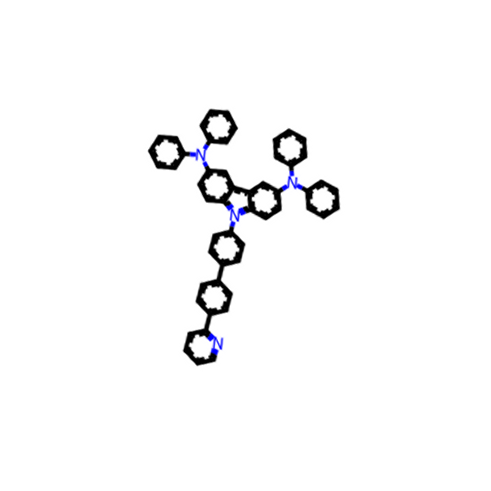 c1ccc(N(c2ccccc2)c2ccc3c(c2)c2cc(N(c4ccccc4)c4ccccc4)ccc2n3-c2ccc(-c3ccc(-c4ccccn4)cc3)cc2)cc1